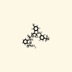 NS(=O)(=O)c1ccccc1NC(=S)NN=C1C(=O)N(Cc2cccc(C(F)(F)F)c2)c2ccc(I)cc21